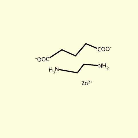 NCCN.O=C([O-])CCCC(=O)[O-].[Zn+2]